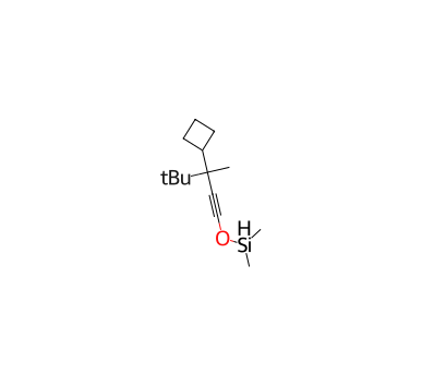 C[SiH](C)OC#CC(C)(C1CCC1)C(C)(C)C